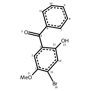 COc1cc(C(=O)c2ccccc2)c(O)cc1Br